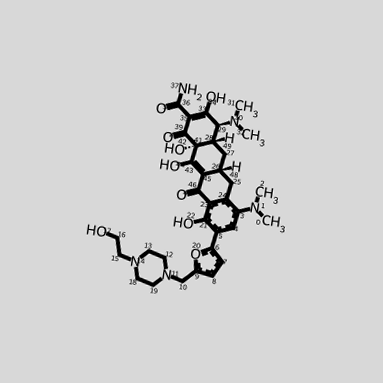 CN(C)c1cc(-c2ccc(CN3CCN(CCO)CC3)o2)c(O)c2c1C[C@H]1C[C@H]3[C@H](N(C)C)C(O)=C(C(N)=O)C(=O)[C@]3(O)C(O)=C1C2=O